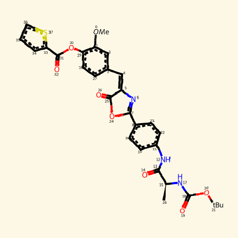 COc1cc(/C=C2/N=C(c3ccc(NC(=O)[C@H](C)NC(=O)OC(C)(C)C)cc3)OC2=O)ccc1OC(=O)c1cccs1